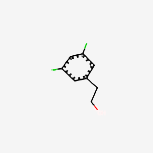 OCCc1cc(Cl)[c]c(Cl)c1